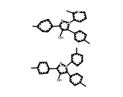 Cc1ccc(-c2nn(-c3cccc(C)c3)c(-c3ccc(C)cc3)c2O)cc1.Cc1ccc(-c2nn(-c3ccccc3C)c(-c3ccc(C)cc3)c2O)cc1